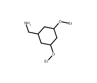 CCOC1CC(CN)CC(OCC)C1